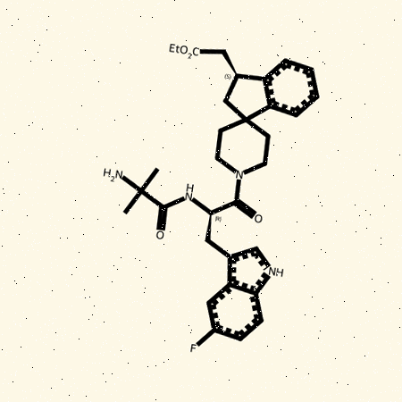 CCOC(=O)C[C@@H]1CC2(CCN(C(=O)[C@@H](Cc3c[nH]c4ccc(F)cc34)NC(=O)C(C)(C)N)CC2)c2ccccc21